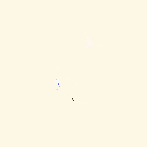 O=[N+]([O-])c1ccc(S(=O)(=O)N[C@H](C2CCCCC2)[C@H](CO)OCc2ccccc2)cc1